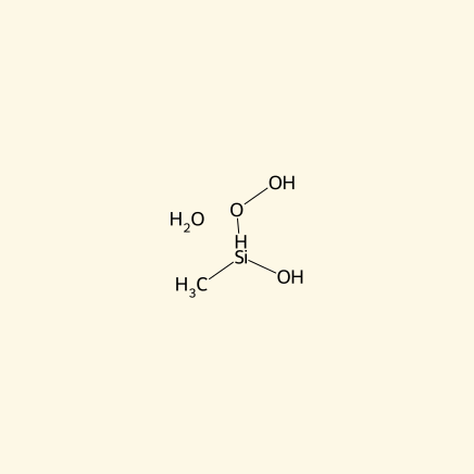 C[SiH](O)OO.O